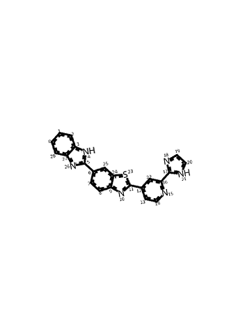 c1ccc2[nH]c(-c3ccc4nc(-c5ccnc(-c6ncc[nH]6)c5)sc4c3)nc2c1